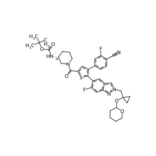 CC(C)(C)OC(=O)N[C@@H]1CCCN(C(=O)c2cc(-c3ccc(C#N)c(F)c3)c(-c3cc4cn(CC5(OC6CCCCO6)CC5)nc4cc3F)s2)C1